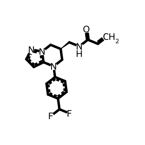 C=CC(=O)NC[C@H]1CN(c2ccc(C(F)F)cc2)c2ccnn2C1